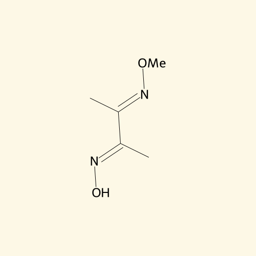 CO/N=C(C)/C(C)=N/O